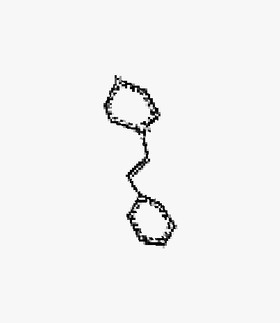 C(=C[n+]1ccncc1)c1ccccc1